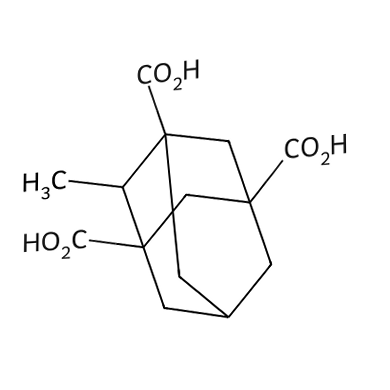 CC1C2(C(=O)O)CC3CC(C(=O)O)(C2)CC1(C(=O)O)C3